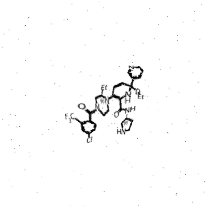 CCOC1(c2cccnc2)C=CC(N2CCN(C(=O)c3ccc(Cl)cc3C(F)(F)F)C[C@H]2CC)=C(C(=O)N[C@@H]2CCNC2)N1